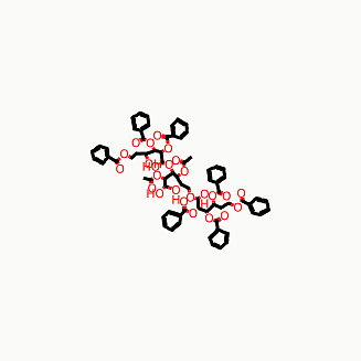 CC(=O)OC(CCOC(O)C(OC(=O)c1ccccc1)C(OC(=O)c1ccccc1)C(CCOC(=O)c1ccccc1)OC(=O)c1ccccc1)C(OC(O)C(OC(=O)c1ccccc1)C(OC(=O)c1ccccc1)C(O)CCOC(=O)c1ccccc1)C(OC(C)=O)C(O)O